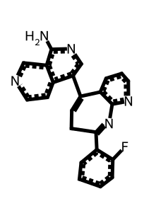 Nc1ncc(C2=CCC(c3ccccc3F)=Nc3ncccc32)c2ccncc12